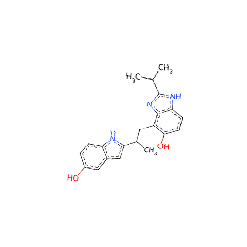 CC(C)c1nc2c(CC(C)c3cc4cc(O)ccc4[nH]3)c(O)ccc2[nH]1